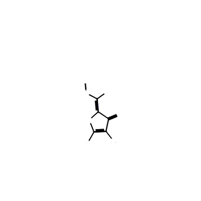 CO/C(O)=C1\SC(Br)=C(Br)C1=O